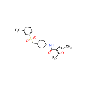 Cc1cc(C(=O)NC2CCC(CS(=O)(=O)c3cccc(C(F)(F)F)c3)CC2)c(C(F)(F)F)o1